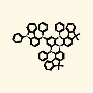 CC1(C)c2ccccc2-c2c1ccc1c2N(c2ccccc2)c2cc(N(c3ccccc3)c3cccc4c3c3ccccc3n4-c3ccccc3)cc3c2B1c1ccc2c(c1N3c1ccccc1)-c1ccccc1C2(C)C